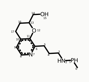 CPNCCCc1nccc2c1OC(CO)CC2